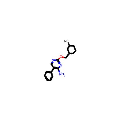 N#CC1CCCC(COc2ncc(-c3ccccc3)c(N)n2)C1